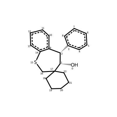 O[C@H]1[C@@H](c2ccccc2)c2ccccc2SCC12CCCCC2